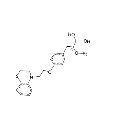 CCO[C@@H](Cc1ccc(OCCN2CCSc3ccccc32)cc1)C(O)O